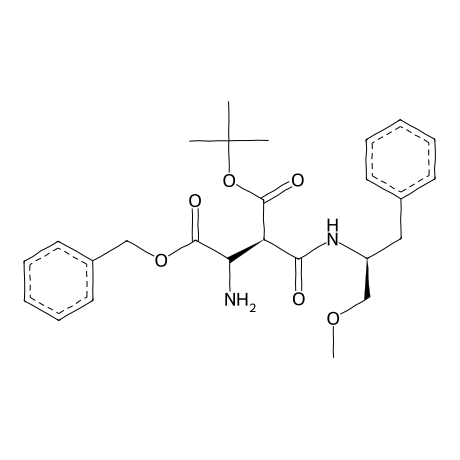 COC[C@H](Cc1ccccc1)NC(=O)[C@H](C(=O)OC(C)(C)C)C(N)C(=O)OCc1ccccc1